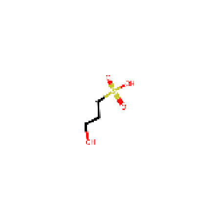 O=S(=O)(O)[CH]CCO